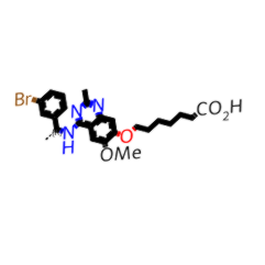 COc1cc2c(N[C@H](C)c3cccc(Br)c3)nc(C)nc2cc1OCCCCCCC(=O)O